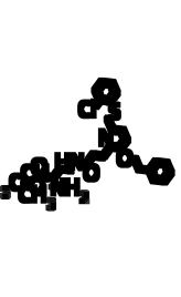 CC(C)(C)OC(=O)C(N)CCNC(=O)/C=C/c1nc(CSc2ccccc2Cl)ccc1OCCc1ccccc1